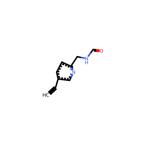 C#Cc1ccc(CNC=O)nc1